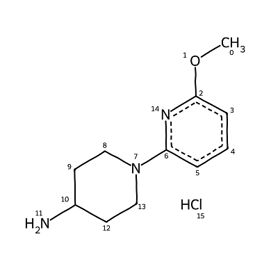 COc1cccc(N2CCC(N)CC2)n1.Cl